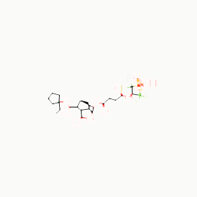 CCC1(OC(=O)C2C3CC4C(OC(=O)C42)C3OC(=O)CCC(=O)OC(C(F)(F)F)C(F)(F)S(=O)(=O)O)CCCC1